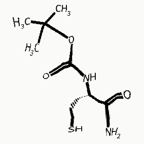 CC(C)(C)OC(=O)N[C@@H](CS)C(N)=O